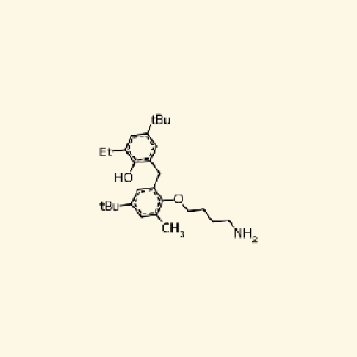 CCc1cc(C(C)(C)C)cc(Cc2cc(C(C)(C)C)cc(C)c2OCCCCN)c1O